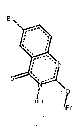 CCCOc1nc2ccc(Br)cc2c(=S)n1CCC